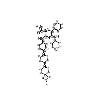 CN1CC2(CCN(C3CCN(c4ccc(Nc5nc(NC6CCOCC6)c(-c6ccccn6)nc5C(N)=O)cc4)CC3)CC2)C1